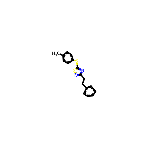 Cc1ccc(Sc2nc(CCc3ccccc3)ns2)cc1